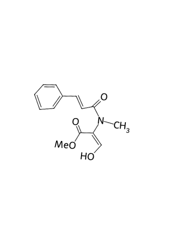 COC(=O)C(=CO)N(C)C(=O)C=Cc1ccccc1